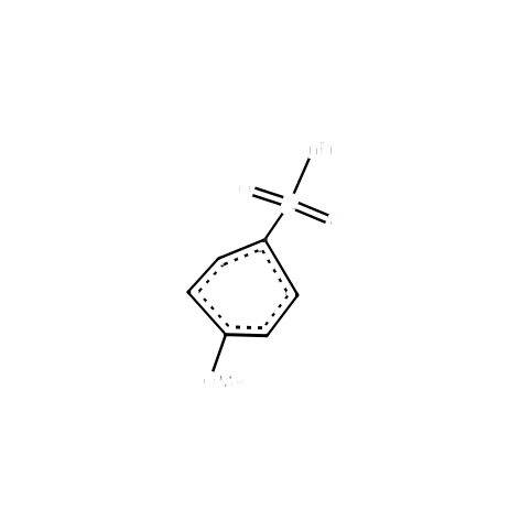 CCCS(=O)(=O)c1ccc(OC)cc1